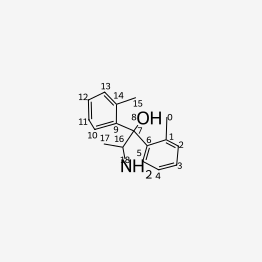 Cc1ccccc1C(O)(c1ccccc1C)C(C)N